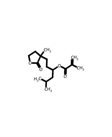 C=C(C)C(=O)OC(CCC1(C)CCOC1=O)CC(C)C